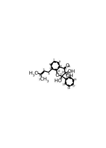 CC(C)=CCc1cccc2c1OC(O)(c1ccccc1)C(O)(O)C2=O